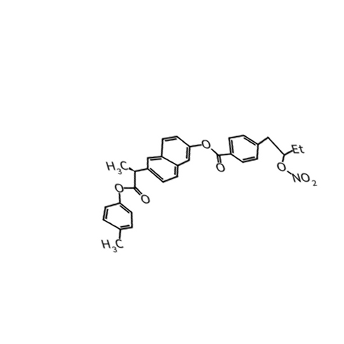 CCC(Cc1ccc(C(=O)Oc2ccc3cc([C@H](C)C(=O)Oc4ccc(C)cc4)ccc3c2)cc1)O[N+](=O)[O-]